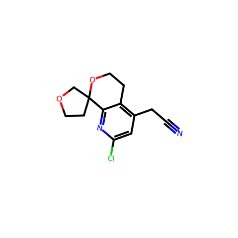 N#CCc1cc(Cl)nc2c1CCOC21CCOC1